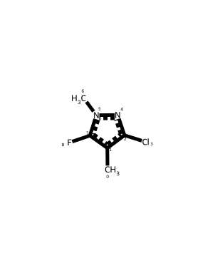 Cc1c(Cl)nn(C)c1F